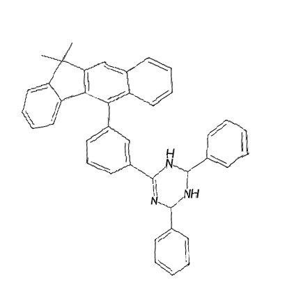 CC1(C)c2ccccc2-c2c1cc1ccccc1c2-c1cccc(C2=NC(c3ccccc3)NC(c3ccccc3)N2)c1